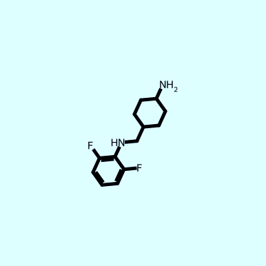 NC1CCC(CNc2c(F)cccc2F)CC1